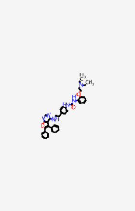 CCN(CC)CCOc1ccccc1NC(=O)Nc1ccc(CCNc2ncnc3oc(-c4ccccc4)c(-c4ccccc4)c23)cc1